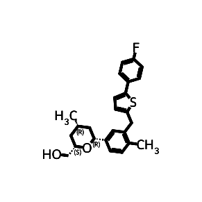 Cc1ccc([C@H]2C[C@@H](C)C[C@@H](CO)O2)cc1Cc1ccc(-c2ccc(F)cc2)s1